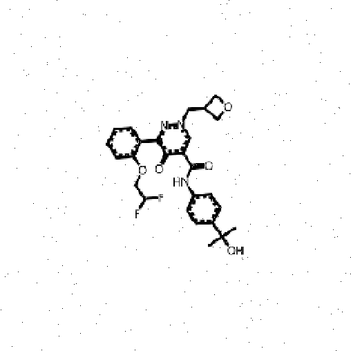 CC(C)(O)c1ccc(NC(=O)c2cn(CC3COC3)nc(-c3ccccc3OCC(F)F)c2=O)cc1